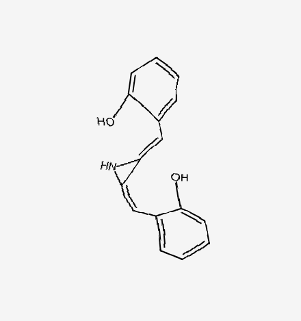 Oc1ccccc1C=C1NC1=Cc1ccccc1O